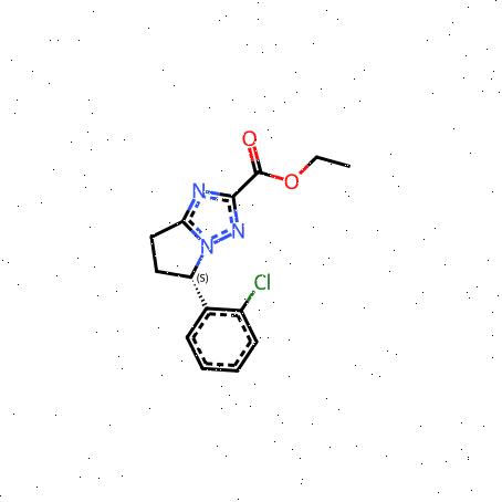 CCOC(=O)c1nc2n(n1)[C@H](c1ccccc1Cl)CC2